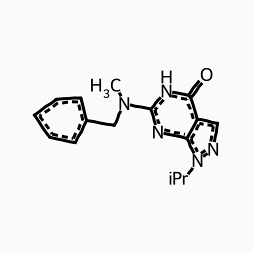 CC(C)n1ncc2c(=O)[nH]c(N(C)Cc3ccccc3)nc21